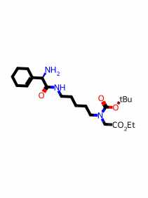 CCOC(=O)CN(CCCCCNC(=O)[C@H](N)C1=CCCCC1)C(=O)OC(C)(C)C